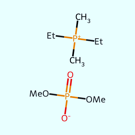 CC[P+](C)(C)CC.COP(=O)([O-])OC